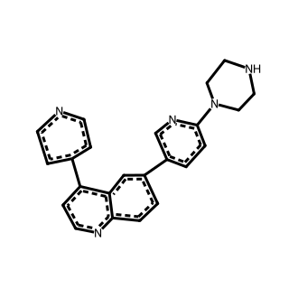 c1cc(-c2ccnc3ccc(-c4ccc(N5CCNCC5)nc4)cc23)ccn1